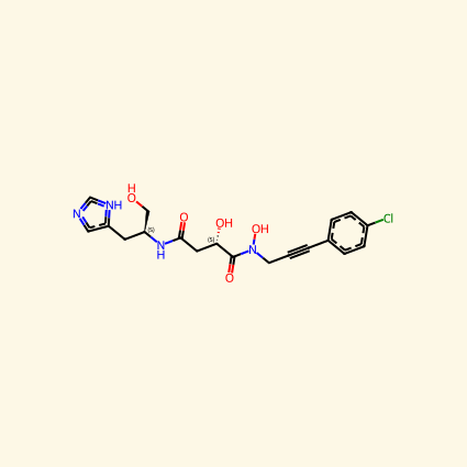 O=C(C[C@H](O)C(=O)N(O)CC#Cc1ccc(Cl)cc1)N[C@H](CO)Cc1cnc[nH]1